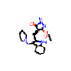 CCOC1=NNC(=O)C1=Cc1[nH]c2c(c1CN1CCCC1)CCCC2